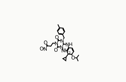 Cc1ccc(CN2C(=O)N(CCC(=O)N=O)C(=O)N(N)C2NC2=CC(C3CC3)C(OC(C)C)C=C2)cc1